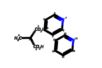 CC(C(=O)O)C(=O)O.c1ccncc1.c1ccncc1